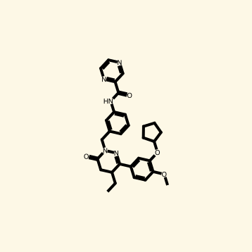 CCC1CC(=O)N(Cc2cccc(NC(=O)c3cnccn3)c2)N=C1c1ccc(OC)c(OC2CCCC2)c1